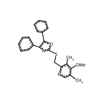 COc1c(C)cnc(CSc2nc(-c3ccccc3)c(-c3ccccc3)o2)c1C